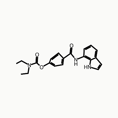 CCN(CC)C(=O)Oc1ccc(C(=O)Nc2cccc3cc[nH]c23)cc1